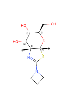 OC[C@H]1O[C@@H]2SC(N3CCC3)=N[C@@H]2[C@H](O)[C@@H]1O